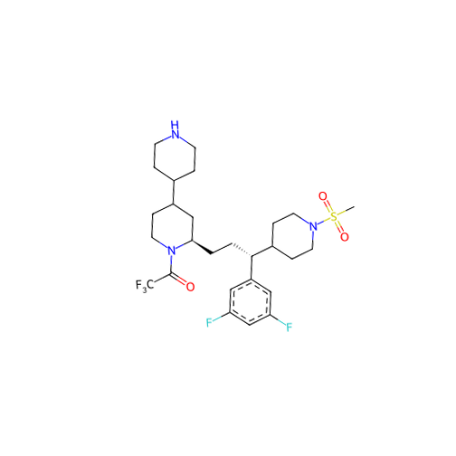 CS(=O)(=O)N1CCC([C@@H](CC[C@@H]2CC(C3CCNCC3)CCN2C(=O)C(F)(F)F)c2cc(F)cc(F)c2)CC1